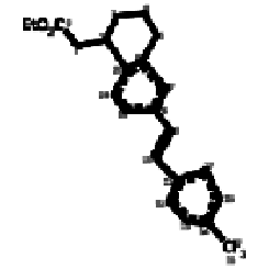 CCOC(=O)CC1CCCc2cc(C=Cc3ccc(C(F)(F)F)cc3)ccc21